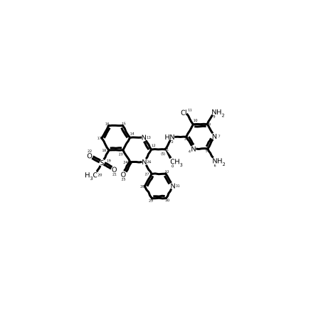 C[C@H](Nc1nc(N)nc(N)c1Cl)c1nc2cccc(S(C)(=O)=O)c2c(=O)n1-c1cccnc1